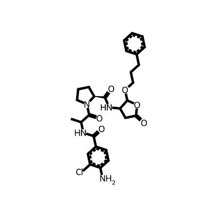 CC(NC(=O)c1ccc(N)c(Cl)c1)C(=O)N1CCC[C@H]1C(=O)NC1CC(=O)OC1OCCCc1ccccc1